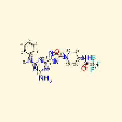 CN(c1ccccc1)c1nc(N)nc(-c2noc(N3CCC(NC(=O)C(F)(F)F)CC3)n2)n1